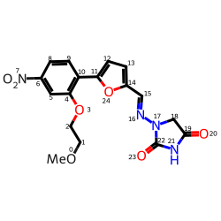 COCCOc1cc([N+](=O)[O-])ccc1-c1ccc(C=NN2CC(=O)NC2=O)o1